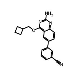 N#Cc1cccc(-c2ccc3nc(N)nc(OCC4CCC4)c3c2)c1